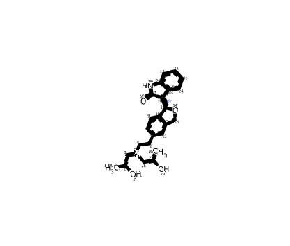 CC(O)CN(CCc1ccc2c(c1)CO/C2=C1/C(=O)Nc2ccccc21)CC(C)O